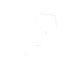 O=[SH](=O)CN1CCCC1